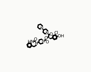 O=C(O[C@H](Cc1ccc(O)c(Cl)c1)C(=O)N1CCC(N2CCCCC2)CC1)N1CCC(N2CCc3ccccc3NC2=O)CC1